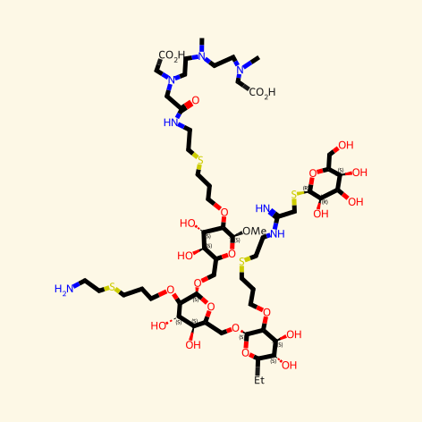 CCC1O[C@H](OCC2O[C@H](OCC3O[C@H](OC)C(OCCCSCCNC(=O)CN(CCN(C)CCN(C)CC(=O)O)CC(=O)O)[C@@H](O)[C@@H]3O)C(OCCCSCCN)[C@@H](O)[C@@H]2O)C(OCCCSCCNC(=N)CS[C@H]2OC(CO)[C@@H](O)C(O)[C@H]2O)[C@@H](O)[C@@H]1O